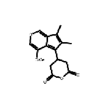 COc1cocc2c(C)c(C)c(C3CC(=O)OC(=O)C3)c1-2